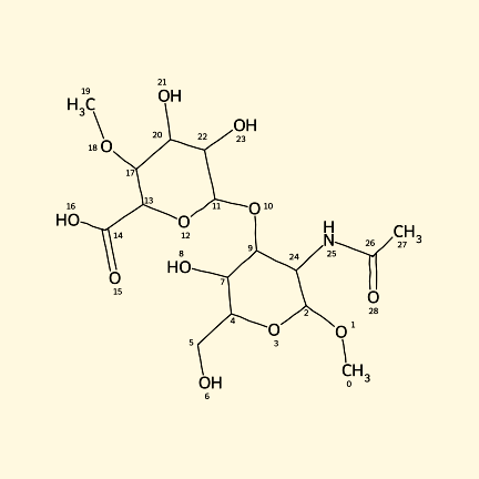 COC1OC(CO)C(O)C(OC2OC(C(=O)O)C(OC)C(O)C2O)C1NC(C)=O